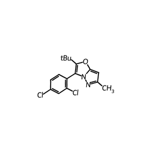 Cc1cc2oc(C(C)(C)C)c(-c3ccc(Cl)cc3Cl)n2n1